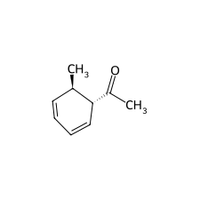 CC(=O)[C@@H]1C=CC=C[C@H]1C